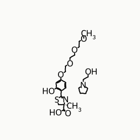 COCCOCCOCCOc1ccc(C2=N[C@@](C)(C(=O)O)CS2)c(O)c1.OCCN1CCCC1